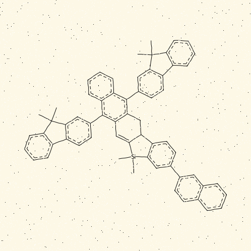 CC1(C)c2ccccc2-c2ccc(-c3c4c(c(-c5ccc6c(c5)C(C)(C)c5ccccc5-6)c5ccccc35)CC3C(=C4)[Si](C)(I)c4cc(-c5ccc6ccccc6c5)ccc43)cc21